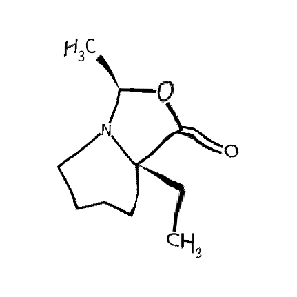 CC[C@@]12CCCN1[C@@H](C)OC2=O